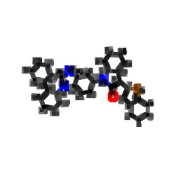 c1ccc2c(c1)sc1c2oc2c1c1ccccc1n2-c1ccc2c(c1)nc1c3ccccc3c3ccccc3n21